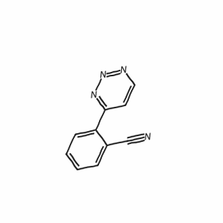 N#Cc1ccccc1-c1ccnnn1